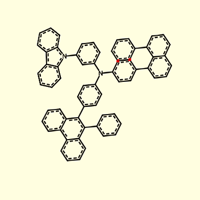 c1ccc(-c2c(-c3ccc(N(c4ccc(-c5cccc6cccc(-c7ccccc7)c56)cc4)c4cccc(-n5c6ccccc6c6ccccc65)c4)cc3)c3ccccc3c3ccccc23)cc1